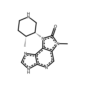 C[C@@H]1CCNC[C@@H]1n1c(=O)n(C)c2cnc3[nH]cnc3c21